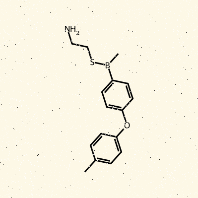 CB(SCCN)c1ccc(Oc2ccc(C)cc2)cc1